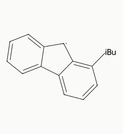 CCC(C)c1cccc2c1[CH]c1ccccc1-2